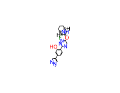 Cn1cc(-c2ccc(-c3ncc(O[C@H]4C[C@@H]5CCC[C@@H](N5)[C@H]4F)nn3)c(O)c2)cn1